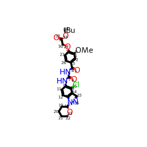 COc1cc(C(=O)NC(=O)Nc2ccc3c(cnn3C3CCCCO3)c2Cl)ccc1OCC(=O)OC(C)(C)C